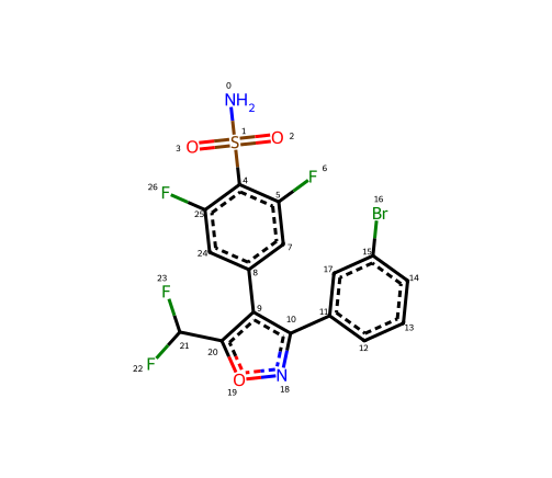 NS(=O)(=O)c1c(F)cc(-c2c(-c3cccc(Br)c3)noc2C(F)F)cc1F